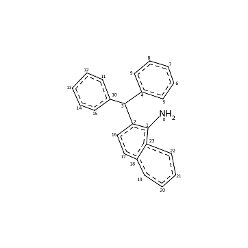 Nc1c(C(c2ccccc2)c2ccccc2)ccc2ccccc12